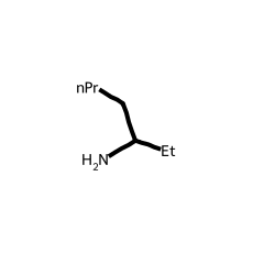 CCCC[C](N)CC